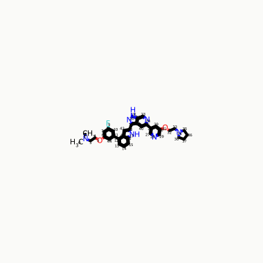 CN(C)CCOc1cc(F)cc(-c2cccc3[nH]c(-c4n[nH]c5cnc(-c6cncc(OCCN7CCCC7)c6)cc45)cc23)c1